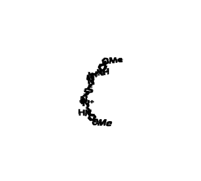 COc1ccc(NCCC[n+]2ccn(CCSSCCn3cc[n+](CCCNc4ccc(OC)cc4)c3)c2)cc1